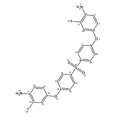 Nc1ccc(Oc2ccc(S(=O)(=O)c3ccc(Oc4ccc(N)c(F)c4)cc3)cc2)cc1F